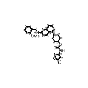 COc1ccccc1CNc1ncc2c(N3CCC(OC(=O)Nc4cc(C)on4)CC3)nccc2n1